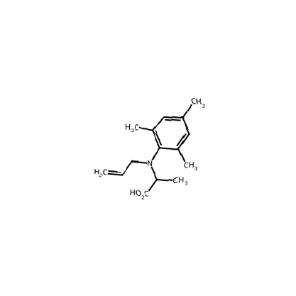 C=CCN(c1c(C)cc(C)cc1C)C(C)C(=O)O